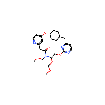 COCO[C@H](COc1ncccn1)N(COC)C(=O)Cc1cc(O[C@H]2CC[C@H](C)CC2)ccn1